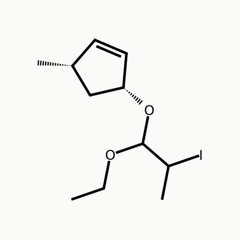 CCOC(O[C@H]1C=C[C@@H](C)C1)C(C)I